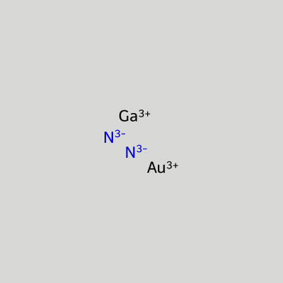 [Au+3].[Ga+3].[N-3].[N-3]